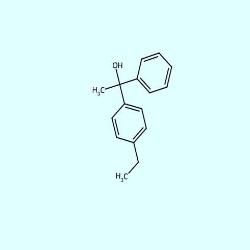 CCc1ccc(C(C)(O)c2ccccc2)cc1